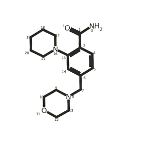 NC(=O)c1ccc(CN2CCOCC2)cc1N1CCCCC1